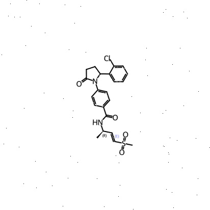 C[C@H](/C=C/S(C)(=O)=O)NC(=O)c1ccc(N2C(=O)CCC2c2ccccc2Cl)cc1